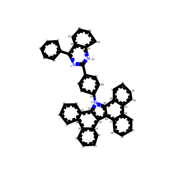 c1ccc(-c2nc(-c3ccc(-n4c5c6ccccc6c6ccccc6c5c5c6ccccc6c6ccccc6c54)cc3)nc3ccccc23)cc1